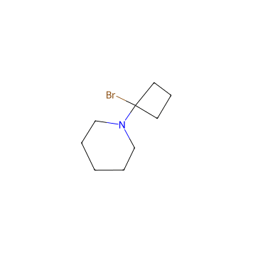 BrC1(N2CCCCC2)CCC1